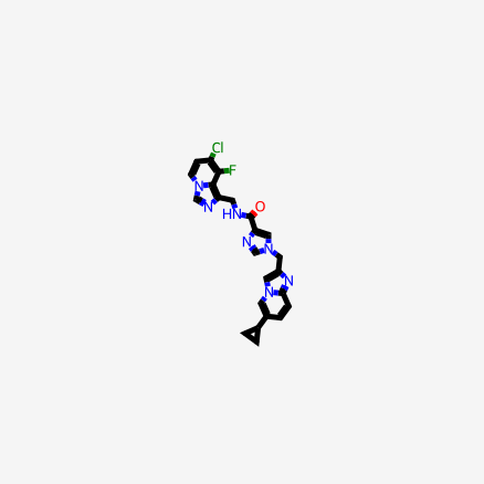 O=C(NCc1ncn2ccc(Cl)c(F)c12)c1cn(Cc2cn3cc(C4CC4)ccc3n2)cn1